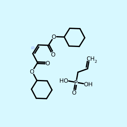 C=CCP(=O)(O)O.O=C(/C=C\C(=O)OC1CCCCC1)OC1CCCCC1